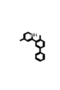 CC1=CCNC(c2cc(-c3ccccc3)ccc2C)=C1